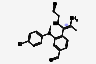 C/C(N)=C(/NCC=O)c1ccc(C=O)cc1N(C)c1ccc(Cl)cc1